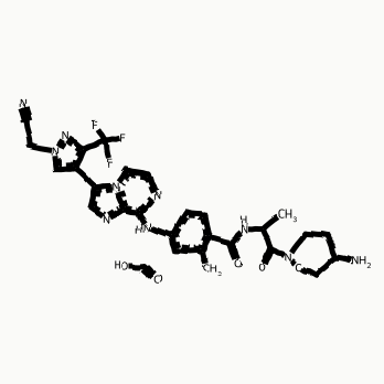 Cc1cc(Nc2nccn3c(-c4cn(CC#N)nc4C(F)(F)F)cnc23)ccc1C(=O)NC(C)C(=O)N1CCC(N)CC1.O=CO